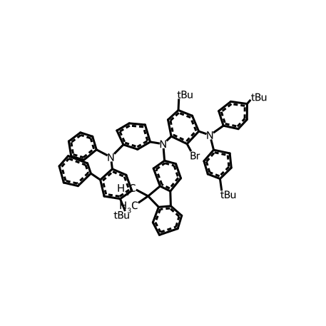 CC(C)(C)c1ccc(N(c2ccc(C(C)(C)C)cc2)c2cc(C(C)(C)C)cc(N(c3cccc(N(c4ccccc4)c4ccc(C(C)(C)C)cc4-c4ccccc4)c3)c3ccc4c(c3)C(C)(C)c3ccccc3-4)c2Br)cc1